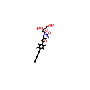 C#CC#CC#Cc1c(C)c(C)c(-c2cc3cn(C4CC(O)C(CO)O4)c(=O)nc3o2)c(C)c1C